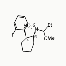 CCC(OC)N(C(=O)O)[C@H]1CCCC[C@H]1c1ccccc1I